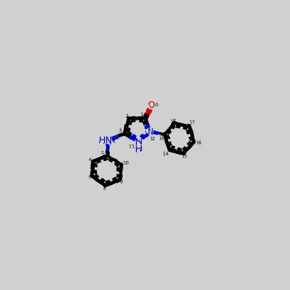 O=c1cc(Nc2ccccc2)[nH]n1-c1ccccc1